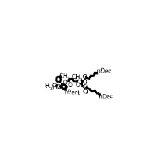 C=C(C)[C@@H]1CCC(C)=C[C@H]1c1c(O)cc(CCCCC)cc1OC(=O)CC(C)CC(=O)OC(COC(=O)CCCCCCCCCCCCCCC)COC(=O)CCCCCCCCCCCCCCC